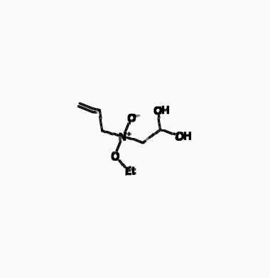 C=CC[N+]([O-])(CC(O)O)OCC